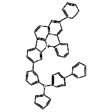 C1=CCCC(c2cc3ccc4c5ccc(-c6cccc(N(c7ccccc7)c7ccc(-c8ccccc8)cc7)c6)cc5n5c6ccccc6c(c2)c3c45)=C1